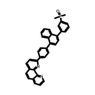 CP(C)(=O)c1cccc(-c2ccc(-c3ccc(-c4ccc5ccc6cccnc6c5n4)cc3)c3ccccc23)c1